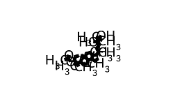 CC(=O)O[C@H]1CC[C@]23C[C@]24CC[C@]2(C)[C@@H]([C@H](C)CCC(O)C(C)(C)O)CC[C@@]2(C)C4CCC3C1(C)C